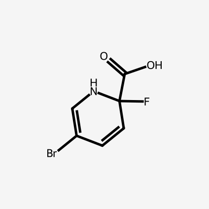 O=C(O)C1(F)C=CC(Br)=CN1